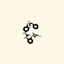 CCS(=O)(=O)Oc1ccccc1NC(=O)Nc1ccc(OS(=O)(=O)Cc2ccccc2)cc1